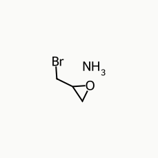 BrCC1CO1.N